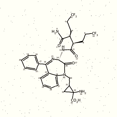 NC(=O)[C@@H](CCC(F)(F)F)[C@@H](CCC(F)(F)F)C(=O)N[C@H]1N=C(c2ccccc2)c2ccccc2N(CC2CC2(N)C(=O)O)C1=O